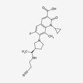 Cc1c(N2CC[C@@H](C(C)NCCC#N)C2)c(F)cc2cc(C(=O)O)c(=O)n(C3CC3)c12